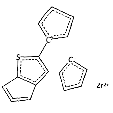 C1=Cc2cc(-[c-]3cccc3)sc2C=1.[Zr+2].c1cc[cH-]c1